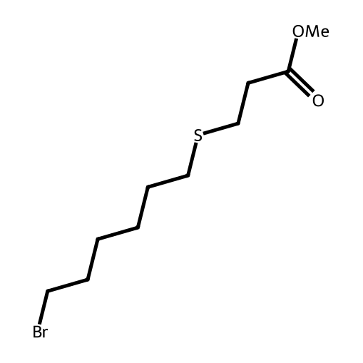 COC(=O)CCSCCCCCCBr